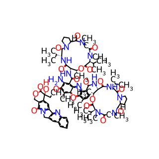 CC[C@@]1(O)C(=O)OCc2c1cc1n(c2=O)Cc2cc3ccccc3nc2-1.Cc1c2oc3c(C)ccc(C(=O)N[C@@H]4C(=O)N[C@H](C(C)C)C(=O)N5CCC[C@H]5C(=O)N(C)CC(=O)N(C)[C@@H](C(C)C)C(=O)O[C@@H]4C)c3nc-2c(C(=O)N[C@@H]2C(=O)N[C@H](C(C)C)C(=O)N3CCC[C@H]3C(=O)N(C)CC(=O)N(C)[C@@H](C(C)C)C(=O)O[C@@H]2C)c(N)c1=O